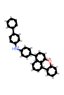 c1ccc(-c2ccc(Nc3ccc(-c4ccc5c6c(cccc46)-c4ccccc4O5)cc3)cc2)cc1